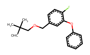 CC(C)(C=O)COCc1ccc(F)c(Oc2ccccc2)c1